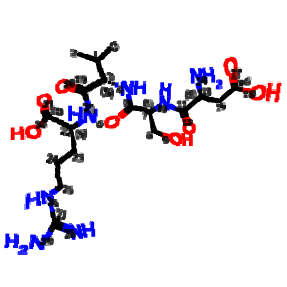 CC(C)[C@H](NC(=O)[C@H](CO)NC(=O)[C@@H](N)CC(=O)O)C(=O)N[C@@H](CCCNC(=N)N)C(=O)O